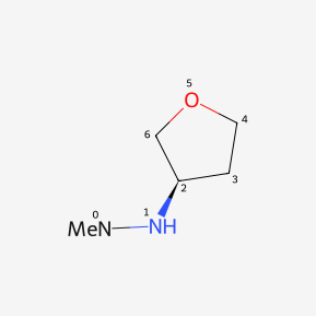 CNN[C@@H]1CCOC1